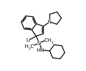 [Li][C]1([Si](C)(C)NC2CCCCC2)C=C(N2CCCC2)c2ccccc21